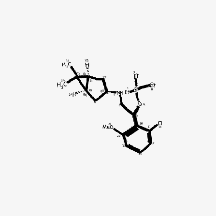 CC[Si](CC)(CC)OC(CN[C@H]1C[C@@H]2[C@H](C1)C2(C)C)c1c(Cl)cccc1OC